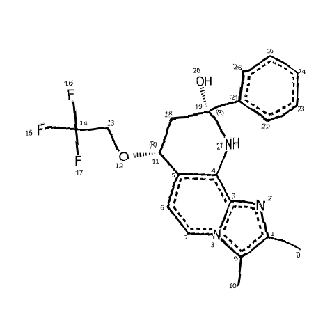 Cc1nc2c3c(ccn2c1C)[C@H](OCC(F)(F)F)C[C@@](O)(c1ccccc1)N3